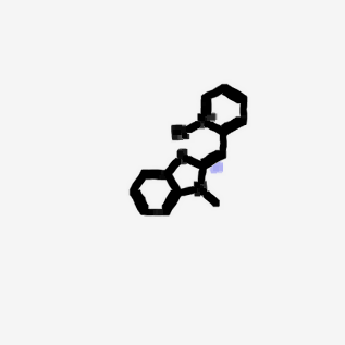 CC[n+]1ccccc1/C=C1\Sc2ccccc2N1C